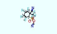 N#COS(=O)(=O)C1C(F)=C(F)C(F)=C(F)C1(C#N)C(F)(F)F